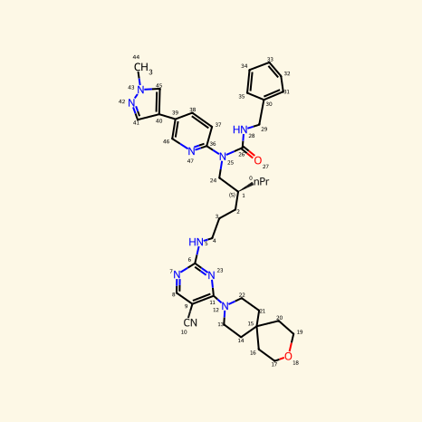 CCC[C@@H](CCCNc1ncc(C#N)c(N2CCC3(CCOCC3)CC2)n1)CN(C(=O)NCc1ccccc1)c1ccc(-c2cnn(C)c2)cn1